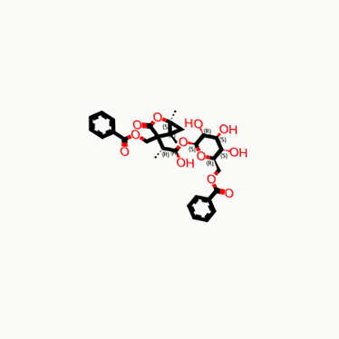 C[C@@H]([C@H](O)O[C@@H]1O[C@H](COC(=O)c2ccccc2)[C@@H](O)[C@H](O)[C@H]1O)C1(COC(=O)c2ccccc2)C(=O)O[C@@]2(C)C[C@]12C